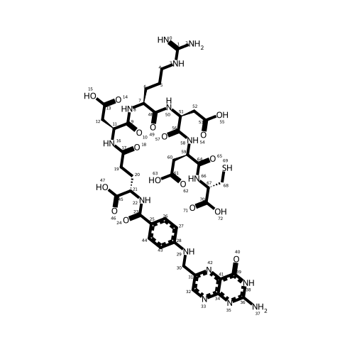 N=C(N)NCCC[C@H](NC(=O)[C@H](CC(=O)O)NC(=O)CC[C@H](NC(=O)c1ccc(NCc2cnc3nc(N)[nH]c(=O)c3n2)cc1)C(=O)O)C(=O)N[C@@H](CC(=O)O)C(=O)N[C@H](CC(=O)O)C(=O)N[C@H](CS)C(=O)O